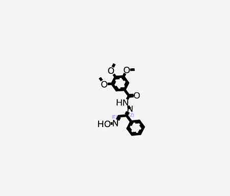 COc1cc(C(=O)N/N=C(\C=N\O)c2ccccc2)cc(OC)c1OC